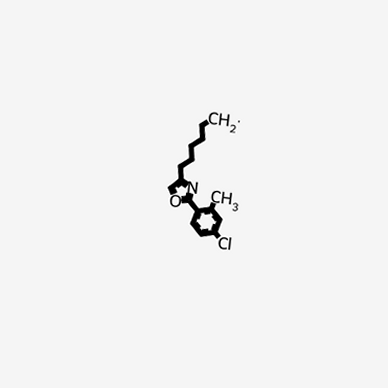 [CH2]CCCCCc1coc(-c2ccc(Cl)cc2C)n1